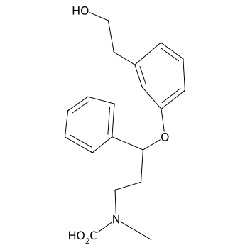 CN(CCC(Oc1cccc(CCO)c1)c1ccccc1)C(=O)O